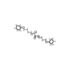 O=C(OCCCCOc1ccccc1)C(=O)OCCCCOc1ccccc1